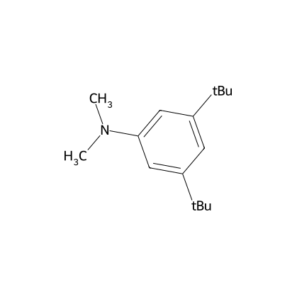 CN(C)c1cc(C(C)(C)C)cc(C(C)(C)C)c1